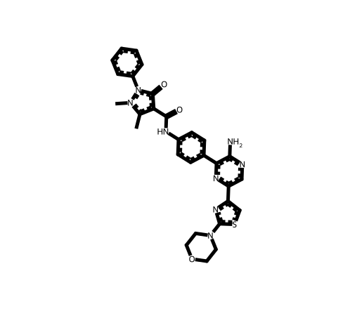 Cc1c(C(=O)Nc2ccc(-c3nc(-c4csc(N5CCOCC5)n4)cnc3N)cc2)c(=O)n(-c2ccccc2)n1C